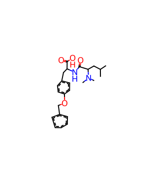 CC(C)CC(C(=O)NC(Cc1ccc(OCc2ccccc2)cc1)C(=O)O)N(C)C